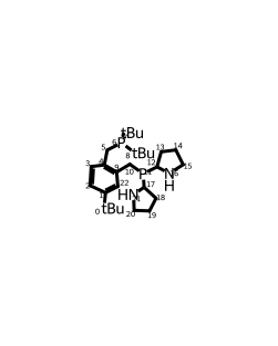 CC(C)(C)c1ccc(CP(C(C)(C)C)C(C)(C)C)c(CP(C2CCCN2)C2CCCN2)c1